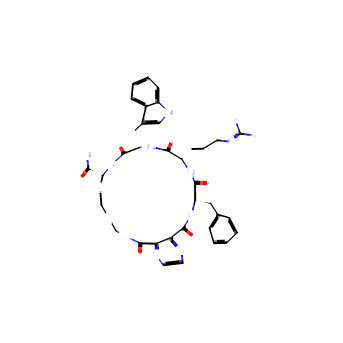 NC(=O)[C@@H]1CCCCNC(=O)c2nccnc2C(=O)N[C@H](Cc2ccccc2)C(=O)N[C@@H](CCCN=C(N)N)C(=O)N[C@@H](Cc2c[nH]c3ccccc23)C(=O)N1